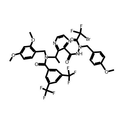 COc1ccc(CN(NC(=O)c2nccnc2C(C)N(Cc2ccc(OC)cc2OC)C(=O)c2cc(C(F)(F)F)cc(C(F)(F)F)c2)C(=O)C(F)(F)Br)cc1